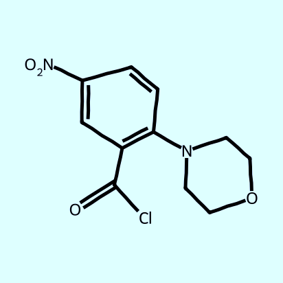 O=C(Cl)c1cc([N+](=O)[O-])ccc1N1CCOCC1